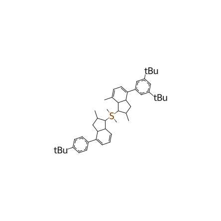 CC1=CC=C(c2cc(C(C)(C)C)cc(C(C)(C)C)c2)C2CC(C)C(S(C)(C)C3C(C)CC4C(c5ccc(C(C)(C)C)cc5)=CC=CC43)C12